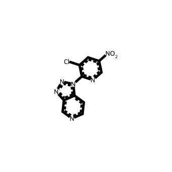 O=[N+]([O-])c1cnc(-n2nnc3cnccc32)c(Cl)c1